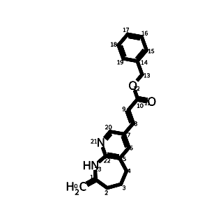 C=C1CCCc2cc(/C=C/C(=O)OCc3ccccc3)cnc2N1